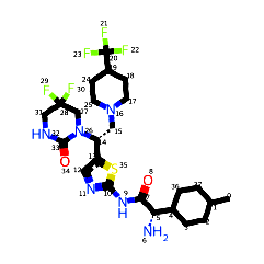 CC1CCC([C@H](N)C(=O)Nc2ncc([C@@H](CN3CCC(C(F)(F)F)CC3)N3CC(F)(F)CNC3=O)s2)CC1